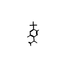 Cc1cc(C(C)(C)C)c(O)cc1C(C)C(=O)O